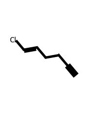 C#C[CH]CC=CCl